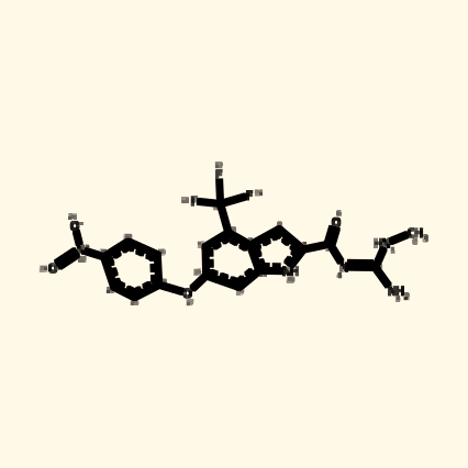 CNC(N)=NC(=O)c1cc2c(C(F)(F)F)cc(Oc3ccc([N+](=O)[O-])cc3)cc2[nH]1